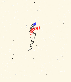 CC/C=C\C/C=C\C/C=C\C/C=C\C/C=C\C/C=C\CCC(=O)OC(C)CC(C)(C)c1ccncc1C(=O)O